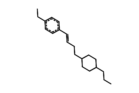 CCCC1CCC(CCC=Cc2ccc(CC)cc2)CC1